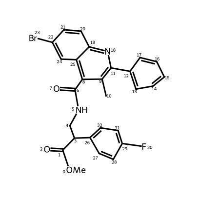 COC(=O)C(CNC(=O)c1c(C)c(-c2ccccc2)nc2ccc(Br)cc12)c1ccc(F)cc1